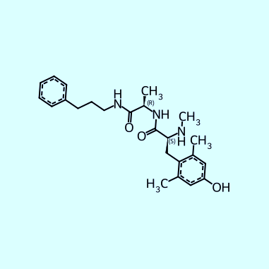 CN[C@@H](Cc1c(C)cc(O)cc1C)C(=O)N[C@H](C)C(=O)NCCCc1ccccc1